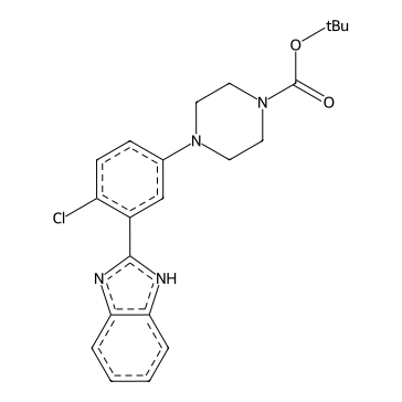 CC(C)(C)OC(=O)N1CCN(c2ccc(Cl)c(-c3nc4ccccc4[nH]3)c2)CC1